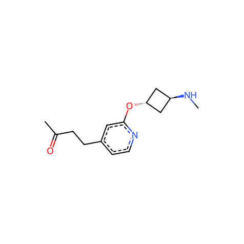 CN[C@H]1C[C@H](Oc2cc(CCC(C)=O)ccn2)C1